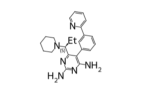 CC[C@@H](c1nc(N)nc(N)c1-c1cccc(-c2ccccn2)c1)N1CCCCC1